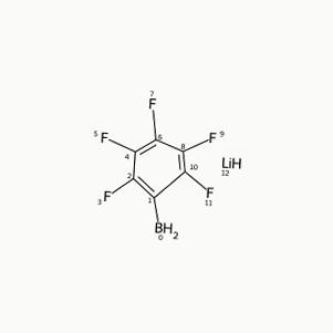 Bc1c(F)c(F)c(F)c(F)c1F.[LiH]